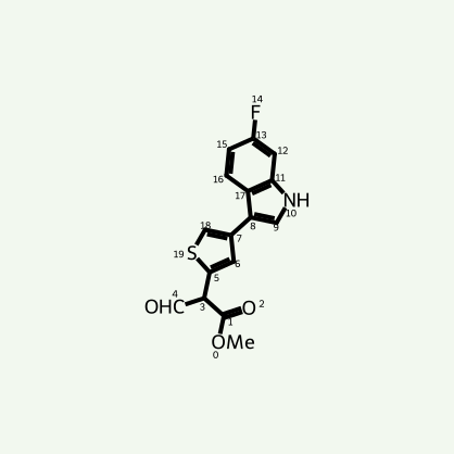 COC(=O)C(C=O)c1cc(-c2c[nH]c3cc(F)ccc23)cs1